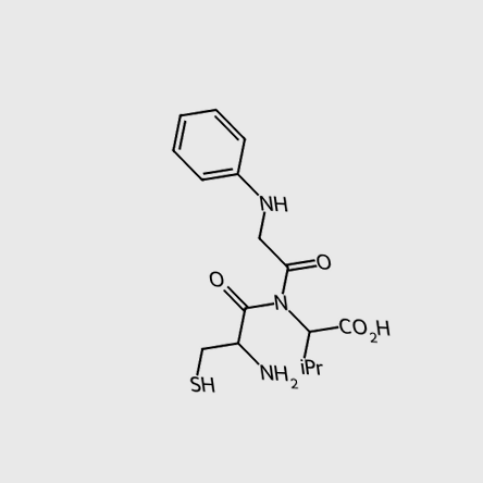 CC(C)C(C(=O)O)N(C(=O)CNc1ccccc1)C(=O)C(N)CS